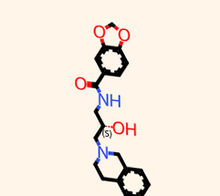 O=C(NC[C@H](O)CN1CCc2ccccc2C1)c1ccc2c(c1)OCO2